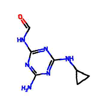 Nc1nc(NC=O)nc(NC2CC2)n1